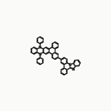 c1ccc(N2c3ccccc3N(c3ccccc3)c3cc4c5ccc(-c6ccc7c(c6)c6ccccc6c6nc8ccccc8n76)cc5c5ccccc5c4cc32)cc1